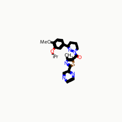 COc1ccc(C2=NN(C(=O)c3sc(-c4cnccn4)nc3C)CCC2)cc1OC(C)C